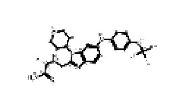 C[C@H](NCc1nc2ccc(OC3=CC=C(OC(F)(F)F)CC3)cc2n1C1CCOCC1)C(N)=O